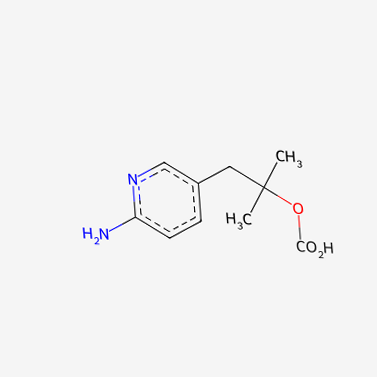 CC(C)(Cc1ccc(N)nc1)OC(=O)O